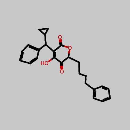 O=C1OC(CCCCc2ccccc2)C(=O)C(O)=C1C(c1ccccc1)C1CC1